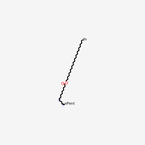 CCCCC/C=C\C/C=C\CCCCCCCC(=O)OCCCCCCCCCCCCCCCCCCCCCCCC(C)C